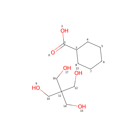 O=C(O)C1CCCCC1.OCC(CO)(CO)CO